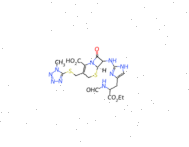 CCOC(=O)C(Cc1c[nH]c(NC2C(=O)N3C(C(=O)O)=C(CSc4nnnn4C)CS[C@H]23)n1)NC=O